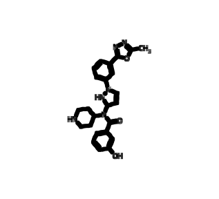 Cc1nnc(-c2cccc(N3C=CC(N(C(=O)c4cccc(O)c4)C4CCNCC4)N3)c2)o1